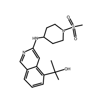 CC(C)(O)c1cccc2cnc(NC3CCN(S(C)(=O)=O)CC3)cc12